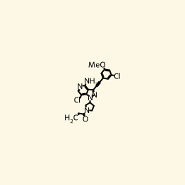 C=CC(=O)N1CCC(n2nc(C#Cc3cc(Cl)cc(OC)c3)c3c(N)ncc(Cl)c32)C1